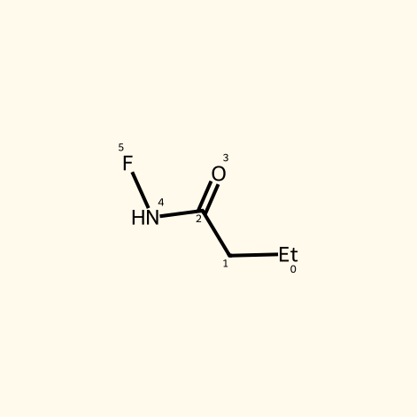 CCCC(=O)NF